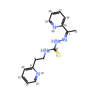 CC(=NNC(=S)NCCc1ccccn1)c1ccccn1